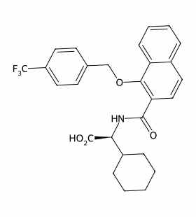 O=C(N[C@H](C(=O)O)C1CCCCC1)c1ccc2ccccc2c1OCc1ccc(C(F)(F)F)cc1